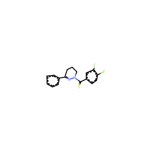 Fc1ccc(C(=S)N2CCCC(c3ccccc3)=N2)cc1F